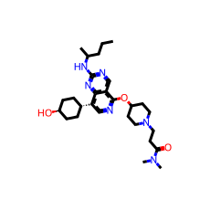 CCCC(C)Nc1ncc2c(OC3CCN(CCC(=O)N(C)C)CC3)ncc([C@H]3CC[C@H](O)CC3)c2n1